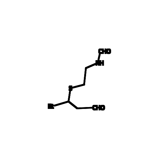 CCC(CC=O)SCCNC=O